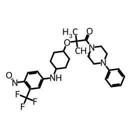 CC(C)(OC1CCC(Nc2ccc(N=O)c(C(F)(F)F)c2)CC1)C(=O)N1CCN(c2ccccc2)CC1